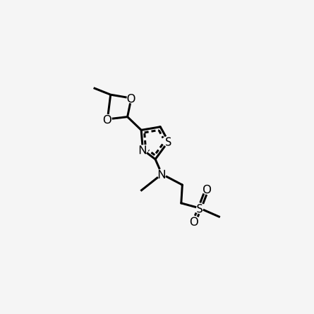 CC1OC(c2csc(N(C)CCS(C)(=O)=O)n2)O1